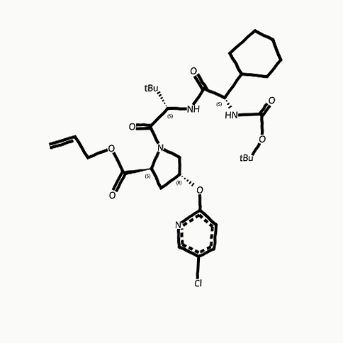 C=CCOC(=O)[C@@H]1C[C@@H](Oc2ccc(Cl)cn2)CN1C(=O)[C@@H](NC(=O)[C@@H](NC(=O)OC(C)(C)C)C1CCCCC1)C(C)(C)C